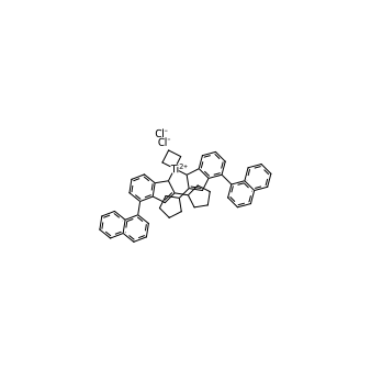 C1=C(C2CCCC2)[CH]([Ti+2]2([CH]3C(C4CCCC4)=Cc4c(-c5cccc6ccccc56)cccc43)[CH2]C[CH2]2)c2cccc(-c3cccc4ccccc34)c21.[Cl-].[Cl-]